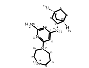 Nc1nc(N[C@@H]2C[C@H]3CC[C@@H]2C3)cc(N2CCCNCC2)n1